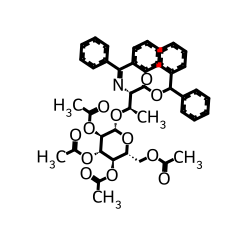 CC(=O)OC[C@H]1O[C@@H](O[C@H](C)[C@H](N=C(c2ccccc2)c2ccccc2)C(=O)OC(c2ccccc2)c2ccccc2)[C@H](OC(C)=O)[C@@H](OC(C)=O)[C@@H]1OC(C)=O